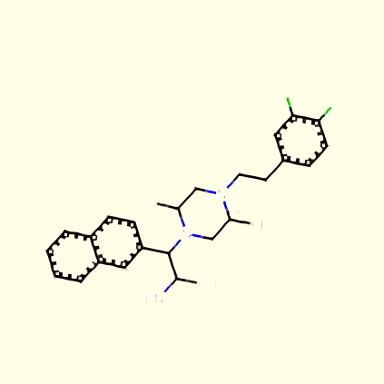 CCCCC1CN(CCc2ccc(Cl)c(Cl)c2)C(C)CN1C(c1ccc2ccccc2c1)C(N)C=O